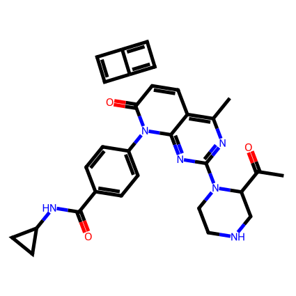 CC(=O)C1CNCCN1c1nc(C)c2ccc(=O)n(-c3ccc(C(=O)NC4CC4)cc3)c2n1.c1cc2ccc1-2